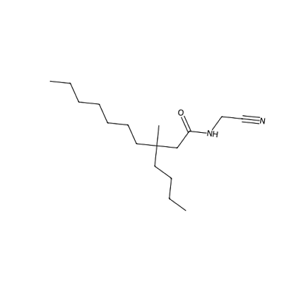 CCCCCCCC(C)(CCCC)CC(=O)NCC#N